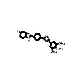 COc1cc(-c2nc(-c3ccc(-c4nc5cc(F)ccc5[nH]4)cc3)no2)cc(OC)c1OC